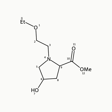 CCOCCN1CC(O)CC1C(=O)OC